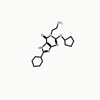 CCCn1c(OC2CCCC2)nc2nc(C3CCCCC3)[nH]c2c1=O